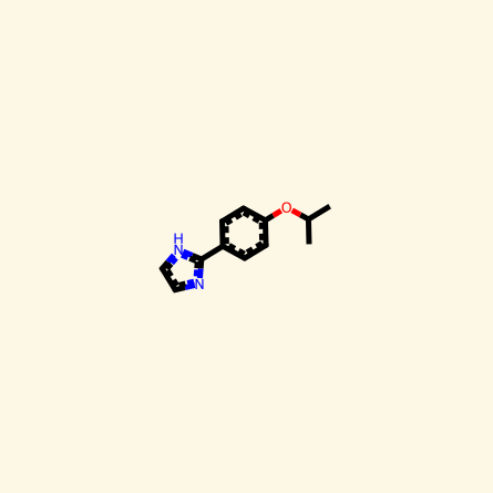 CC(C)Oc1ccc(-c2ncc[nH]2)cc1